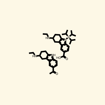 CCNC1CCc2[nH]c3ccc(C(C)=O)cc3c2C1.CCNC1CCc2c(c3cc(C(=O)O)ccc3n2[Si](C(C)C)(C(C)C)C(C)C)C1